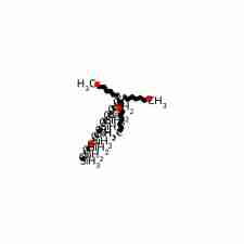 CCCCCCCC[Si](CCCCCCCC)(CCCCCCCC)O[SiH2]O[SiH2]O[SiH2]O[SiH2]O[SiH2]O[SiH2]O[SiH2]O[SiH2]O[SiH3]